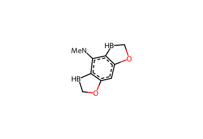 CNc1c2c(cc3c1BCO3)OCB2